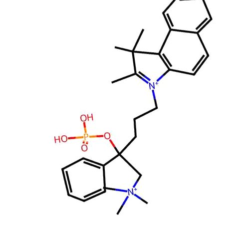 CC1=[N+](CCCC(C[N+](C)(C)C)(OP(=O)(O)O)c2ccccc2)c2ccc3ccccc3c2C1(C)C